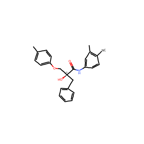 [C-]#[N+]c1ccc(NC(=O)[C@@](O)(COc2ccc(C)cc2)Cc2ccccc2)cc1C